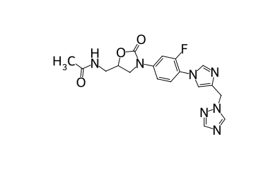 CC(=O)NCC1CN(c2ccc(-n3cnc(Cn4cncn4)c3)c(F)c2)C(=O)O1